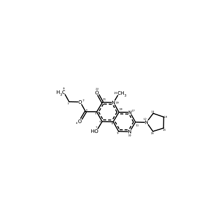 CCOC(=O)c1c(O)c2cnc(N3CCCC3)nc2n(C)c1=O